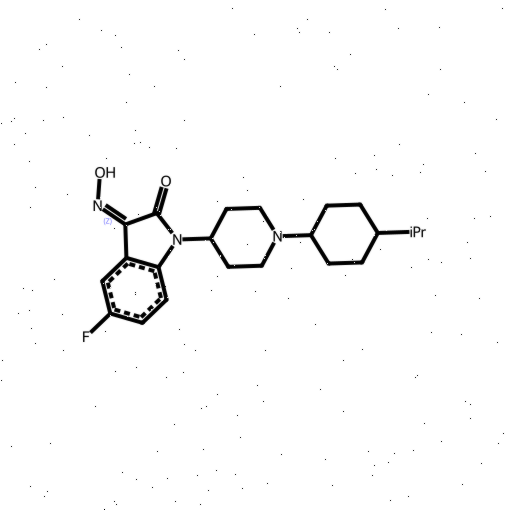 CC(C)C1CCC(N2CCC(N3C(=O)/C(=N\O)c4cc(F)ccc43)CC2)CC1